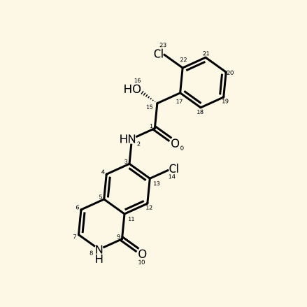 O=C(Nc1cc2cc[nH]c(=O)c2cc1Cl)[C@H](O)c1ccccc1Cl